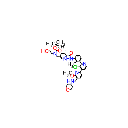 COc1nc(-c2ccnc(-c3cccc(NC(=O)c4ccc(CN(CCO)C(=O)OC(C)(C)C)cn4)c3C)c2Cl)ccc1CNC1CCOCC1